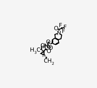 C=C[C@@H]1C[C@@]1(C(=O)NS(=O)(=O)c1ccc2c(c1)CN(C(=O)C(F)(F)F)CC2)C(C)C